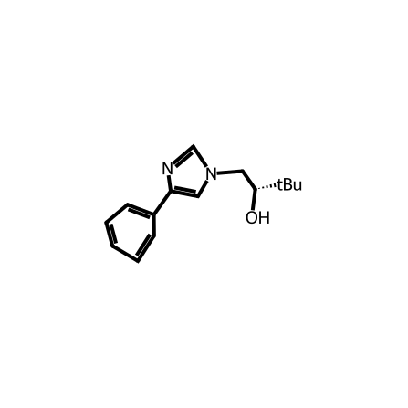 CC(C)(C)[C@H](O)Cn1cnc(-c2ccccc2)c1